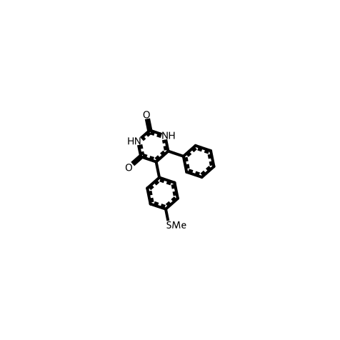 CSc1ccc(-c2c(-c3ccccc3)[nH]c(=O)[nH]c2=O)cc1